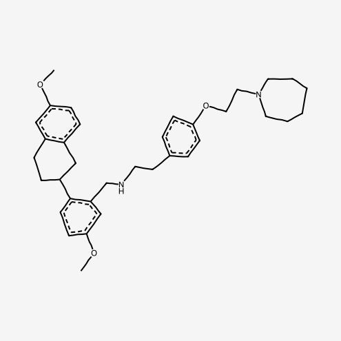 COc1ccc2c(c1)CCC(c1ccc(OC)cc1CNCCc1ccc(OCCN3CCCCCC3)cc1)C2